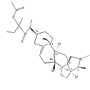 CCC(C)(OC(C)=O)C(=O)N(C)[C@H]1CC[C@@]2(C)C(=CC[C@H]3[C@@H]4CC[C@@H]5[C@H](C)N(C)C[C@@]54CC[C@@H]32)C1